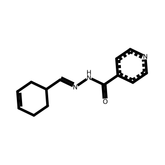 O=C(NN=CC1CC=CCC1)c1ccncc1